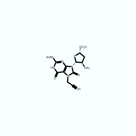 C#CCn1c(=O)n([C@@H]2O[C@H](C(=O)O)C[C@H]2OC(C)=O)c2nc(NC(C)=O)[nH]c(=O)c21